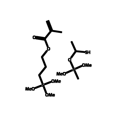 C=C(C)C(=O)OCCC[Si](OC)(OC)OC.CO[Si](C)(OC)OC(C)S